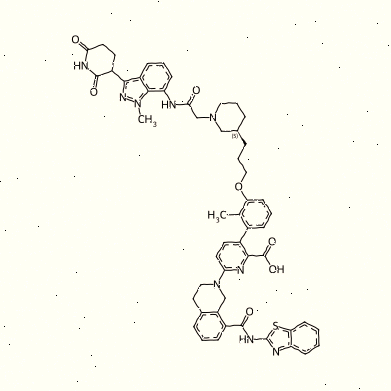 Cc1c(OCCC[C@@H]2CCCN(CC(=O)Nc3cccc4c(C5CCC(=O)NC5=O)nn(C)c34)C2)cccc1-c1ccc(N2CCc3cccc(C(=O)Nc4nc5ccccc5s4)c3C2)nc1C(=O)O